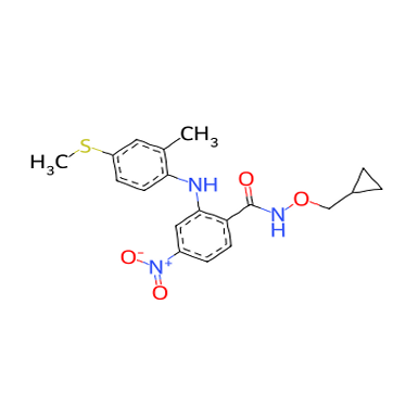 CSc1ccc(Nc2cc([N+](=O)[O-])ccc2C(=O)NOCC2CC2)c(C)c1